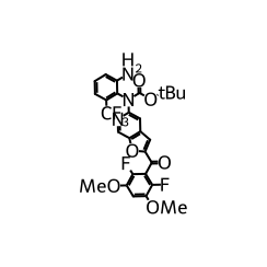 COc1cc(OC)c(F)c(C(=O)c2cc3cc(N(C(=O)OC(C)(C)C)c4c(N)cccc4C(F)(F)F)ncc3o2)c1F